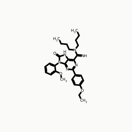 CCCCN(CCCC)C(=N)c1nc(-c2ccc(OCC)cc2)nc2c1[nH]c(=O)n2-c1ccccc1OC